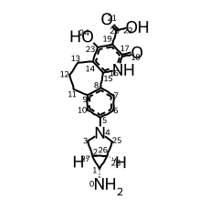 N[C@@H]1[C@H]2CN(c3ccc4c(c3)CCCc3c-4[nH]c(=O)c(C(=O)O)c3O)C[C@@H]12